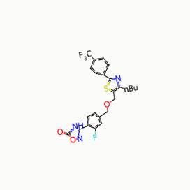 CCCCc1nc(-c2ccc(C(F)(F)F)cc2)sc1COCc1ccc(-c2noc(=O)[nH]2)c(F)c1